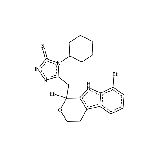 CCc1cccc2c3c([nH]c12)C(CC)(Cc1n[nH]c(=S)n1C1CCCCC1)OCC3